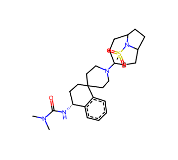 CN(C)C(=O)N[C@@H]1CCC2(CCN(C3CCC4CCC(CC3)N4S(C)(=O)=O)CC2)c2ccccc21